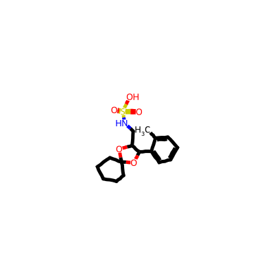 Cc1ccccc1C1OC2(CCCCC2)OC1CNS(=O)(=O)O